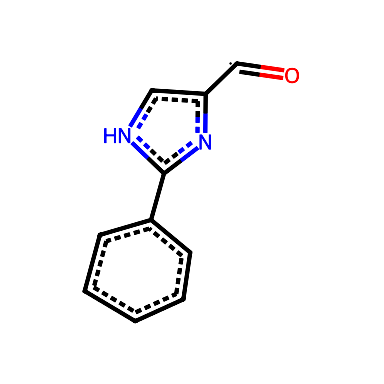 O=[C]c1c[nH]c(-c2ccccc2)n1